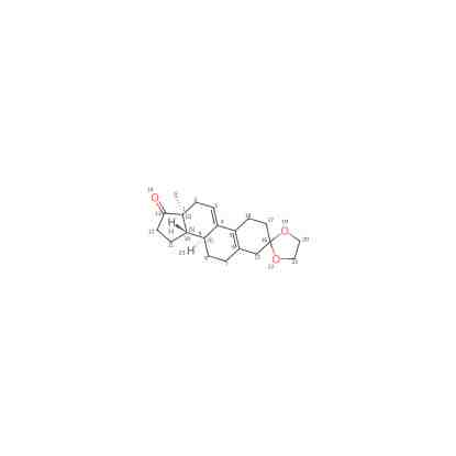 C[C@]12CC=C3C4=C(CC[C@H]3[C@@H]1CCC2=O)CC1(CC4)OCCO1